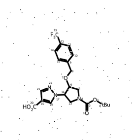 CC(C)(C)OC(=O)N1CC(OCc2ccc(C(F)(F)F)cc2)C(n2cc(C(=O)O)cn2)C1